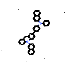 c1ccc(N(c2ccc(-c3ccc4c(c3)Cc3ccccc3N4c3ccc4ccccc4c3)cc2)c2ccc3ccccc3c2)cc1